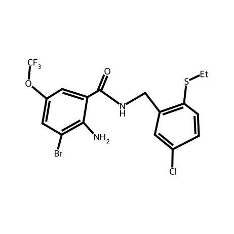 CCSc1ccc(Cl)cc1CNC(=O)c1cc(OC(F)(F)F)cc(Br)c1N